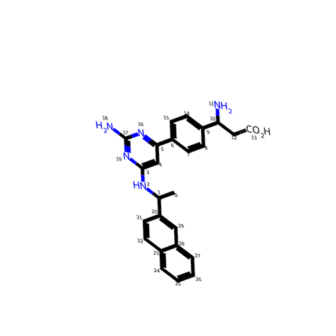 CC(Nc1cc(-c2ccc(C(N)CC(=O)O)cc2)nc(N)n1)c1ccc2ccccc2c1